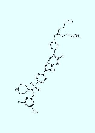 Cc1cc(F)cc(CN(C2CCNCC2)S(=O)(=O)c2ccc(-c3cc4cn(-c5ccc(CN(CCCN)CCCN)cc5)c(=O)nc4[nH]3)cc2)c1